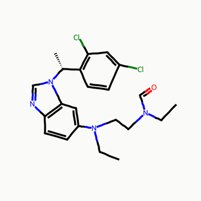 CCN(C=O)CCN(CC)c1ccc2ncn([C@H](C)c3ccc(Cl)cc3Cl)c2c1